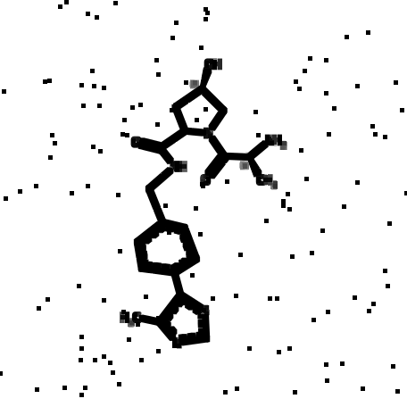 Cc1ncsc1-c1ccc(CNC(=O)C2C[C@@H](O)CN2C(=O)[C@H](C)N)cc1